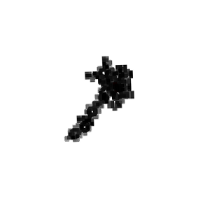 CN1CCN(c2ccc3nc(-c4ccc(OCc5cn(CC6OC(OC7[C@H](O[C@H]8OC(CN)[C@@H](O)[C@H](O)C8N)C(N)C[C@@H](N)[C@H]7O)[C@@H](O)[C@H]6O[C@H]6O[C@@H](CN)[C@@H](O)C(O)C6N)nn5)cc4)[nH]c3c2)CC1